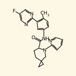 Cc1ccc(NC(=O)C2CCC3(CC3)CN2c2ccccn2)cc1-c1ncc(F)cn1